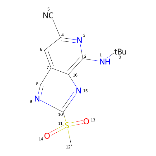 CC(C)(C)Nc1nc(C#N)cc2cnc(S(C)(=O)=O)nc12